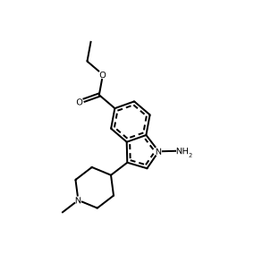 CCOC(=O)c1ccc2c(c1)c(C1CCN(C)CC1)cn2N